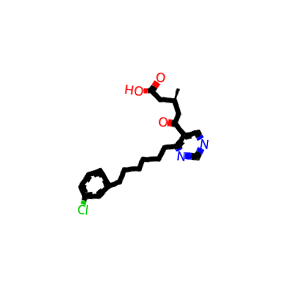 C[C@H](CC(=O)O)CC(=O)c1cncnc1CCCCCCc1cccc(Cl)c1